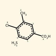 Cc1cc(C(=O)O)ccc1Cl.S